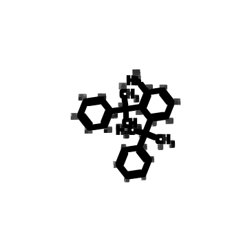 CC(C)(c1ccccc1)c1cccc(S)c1C(C)(C)c1ccccc1